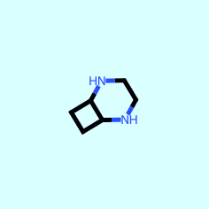 C1CNC2CCC2N1